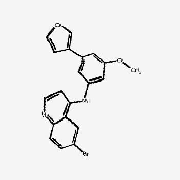 COc1cc(Nc2ccnc3ccc(Br)cc23)cc(-c2ccoc2)c1